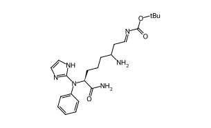 CC(C)(C)OC(=O)N=CCC(N)CCC[C@@H](C(N)=O)N(c1ccccc1)c1ncc[nH]1